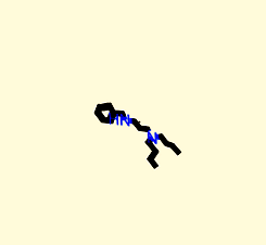 CCCCN(CC[CH]NCc1ccccc1)CCCC